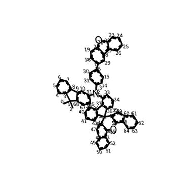 CC1(C)c2ccccc2-c2cc(N(c3ccc(-c4ccc5oc6ccccc6c5c4)cc3)c3cccc4c3-c3ccccc3C43c4ccc5ccccc5c4Oc4c3ccc3ccccc43)ccc21